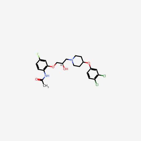 CC(=O)Nc1ccc(F)cc1OC[C@H](O)CN1CCC(Oc2ccc(Cl)c(Cl)c2)CC1